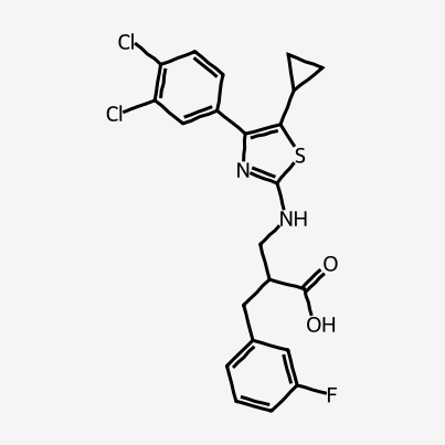 O=C(O)C(CNc1nc(-c2ccc(Cl)c(Cl)c2)c(C2CC2)s1)Cc1cccc(F)c1